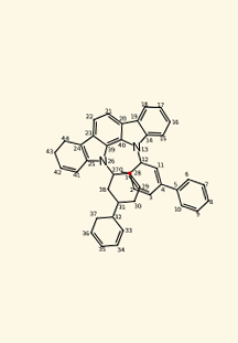 CC1C=CC(c2ccccc2)=CC1n1c2ccccc2c2ccc3c4c(n(C5C=CCC(C6C=CC=CC6)C5)c3c21)C=CCC4